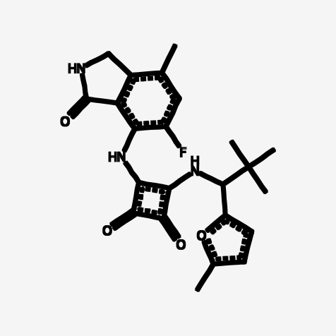 Cc1ccc(C(Nc2c(Nc3c(F)cc(C)c4c3C(=O)NC4)c(=O)c2=O)C(C)(C)C)o1